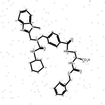 Cn1c(CN(Cc2ccc(C(=O)NC[C@H](NC(=O)OCc3ccccc3)C(=O)O)cc2)C(=O)NC2CCCCC2)nc2ccccc21